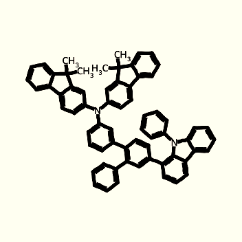 CC1(C)c2ccccc2-c2ccc(N(c3cccc(-c4ccc(-c5cccc6c7ccccc7n(-c7ccccc7)c56)cc4-c4ccccc4)c3)c3ccc4c(c3)C(C)(C)c3ccccc3-4)cc21